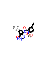 C#Cc1ccc(S(=O)(=O)CC)c(C(=O)Nc2cc(C(F)(F)F)cc3c(=O)[nH]cnc23)c1